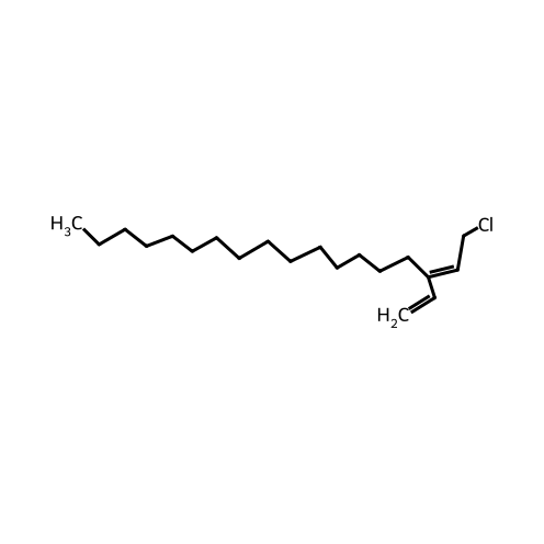 C=C/C(=C/CCl)CCCCCCCCCCCCCCC